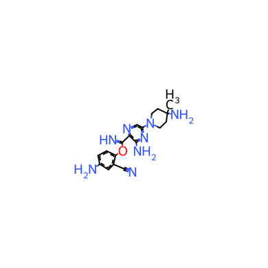 CC1(N)CCN(c2cnc(C(=N)Oc3ccc(N)cc3C#N)c(N)n2)CC1